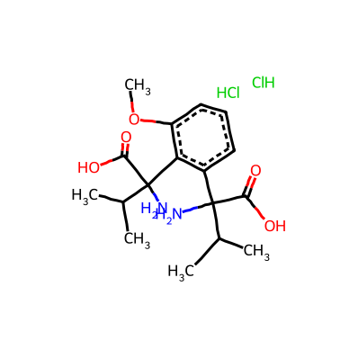 COc1cccc(C(N)(C(=O)O)C(C)C)c1C(N)(C(=O)O)C(C)C.Cl.Cl